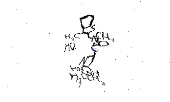 Cc1c(CN(C)C(=O)/C=C/c2cnc3c(c2)CNC(C)(C)CN3)sc2ccccc12.Cl